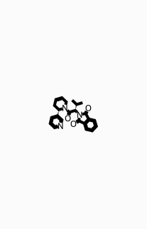 CC(C)[C@@H](C(=O)N1CC=CC[C@H]1c1cccnc1)N1C(=O)c2ccccc2C1=O